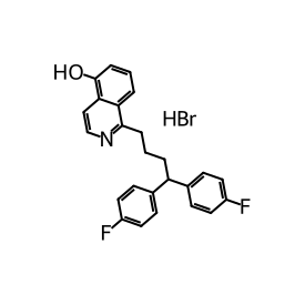 Br.Oc1cccc2c(CCCC(c3ccc(F)cc3)c3ccc(F)cc3)nccc12